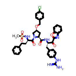 CS(=O)(=O)N[C@H](CCc1ccccc1)C(=O)N1C[C@H](OCc2ccc(Cl)cc2)C[C@H]1C(=O)N[C@@H](Cc1ccc(NC(=N)N)cc1)C(=O)c1nc2ccccc2o1